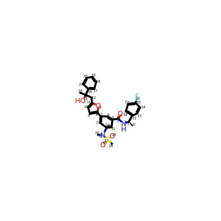 C[C@@H](NC(=O)c1cc(-c2ccc(CC(C)(O)c3ccccc3)o2)cc(N(C)S(C)(=O)=O)c1)c1ccc(F)cc1